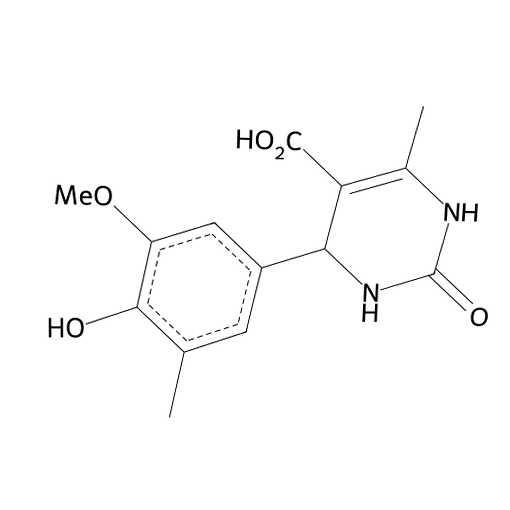 COc1cc(C2NC(=O)NC(C)=C2C(=O)O)cc(C)c1O